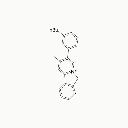 CCCCc1cccc(-c2c[n+]3c(cc2C)-c2ccccc2C3)c1